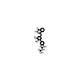 COc1cc(Cc2n[nH]c(=O)c3c2=CCCC=3)cc(-c2ccc3[nH]c(NC(=O)O)nc3c2)c1OC